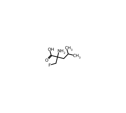 CC(C)CC(N)(CF)C(=O)O